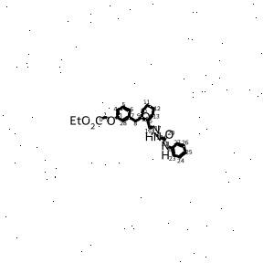 CCOC(=O)COc1cccc(CC2C3CCC(O3)C2C=NNC(=O)Nc2ccccc2)c1